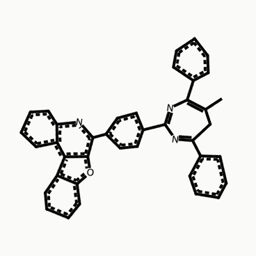 CC1=C(c2ccccc2)N=C(c2ccc(-c3nc4ccccc4c4c3oc3ccccc34)cc2)N=C(c2ccccc2)C1